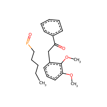 CCCCCP=O.COc1cccc(CC(=O)c2ccccc2)c1OC